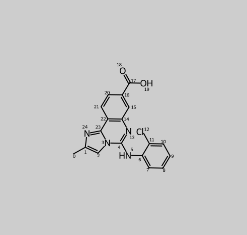 Cc1cn2c(Nc3ccccc3Cl)nc3cc(C(=O)O)ccc3c2n1